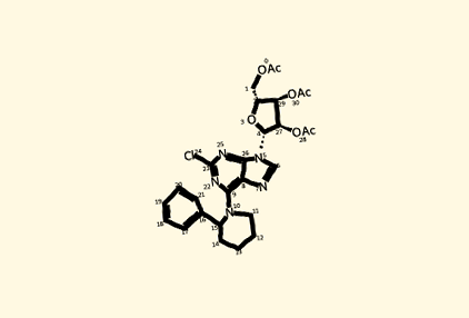 CC(=O)OC[C@H]1O[C@@H](n2cnc3c(N4CCCCC4c4ccccc4)nc(Cl)nc32)[C@H](OC(C)=O)[C@@H]1OC(C)=O